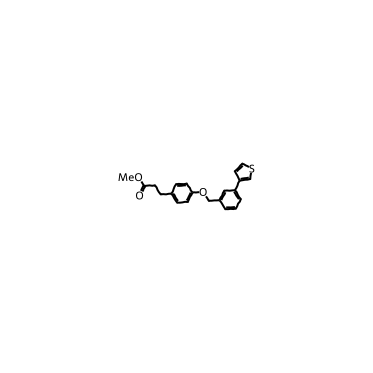 COC(=O)CCc1ccc(OCc2cccc(-c3ccsc3)c2)cc1